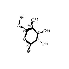 CC[C@H]1O[C@@H](OC(C)(C)C)[C@@H](O)[C@@H](O)[C@@H]1O